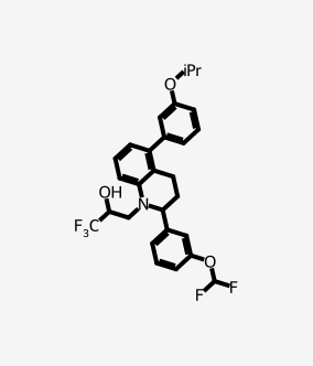 CC(C)Oc1cccc(-c2cccc3c2CCC(c2cccc(OC(F)F)c2)N3CC(O)C(F)(F)F)c1